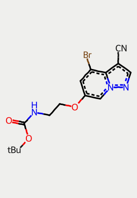 CC(C)(C)OC(=O)NCCOc1cc(Br)c2c(C#N)cnn2c1